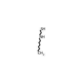 CCCCCCCCNCCCS